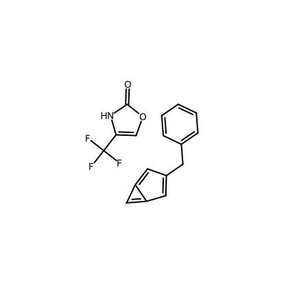 O=c1[nH]c(C(F)(F)F)co1.c1ccc(Cc2cc3cc-3c2)cc1